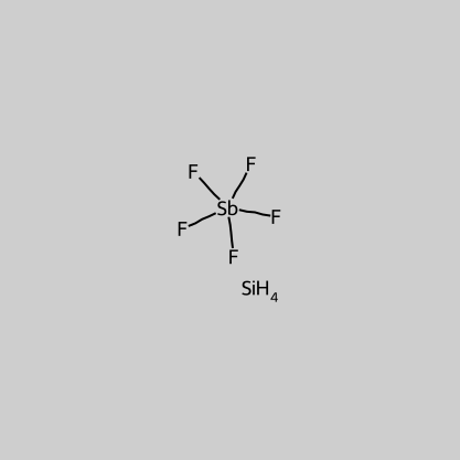 [F][Sb]([F])([F])([F])[F].[SiH4]